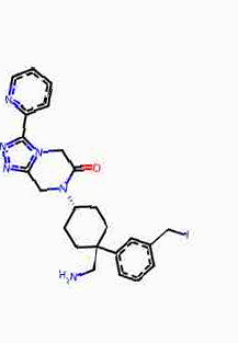 NC[C@]1(c2cccc(CI)c2)CC[C@@H](N2Cc3nnc(-c4ccccn4)n3CC2=O)CC1